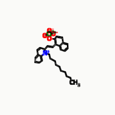 CCCCCCCCCC[n+]1c(C=Cc2c(O[Cl+3]([O-])([O-])[O-])ccc3ccccc23)ccc2ccccc21